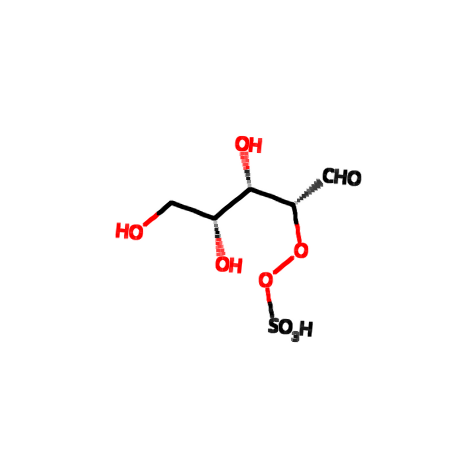 O=C[C@H](OOS(=O)(=O)O)[C@@H](O)[C@H](O)CO